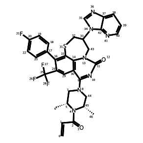 C=CC(=O)N1[C@H](C)CN(c2nc(=O)n3c4c(c(-c5ccc(F)cc5)c(C(F)(F)F)cc24)SCC(n2cnc4cccnc42)C3)C[C@@H]1C